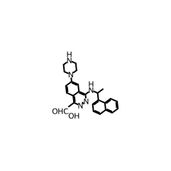 Cc1nnc(NC(C)c2cccc3ccccc23)c2cc(N3CCNCC3)ccc12.O=CO